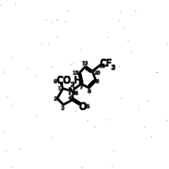 O=C(O)[C@@H]1CCC(=O)N1c1ccc(C(F)(F)F)cc1